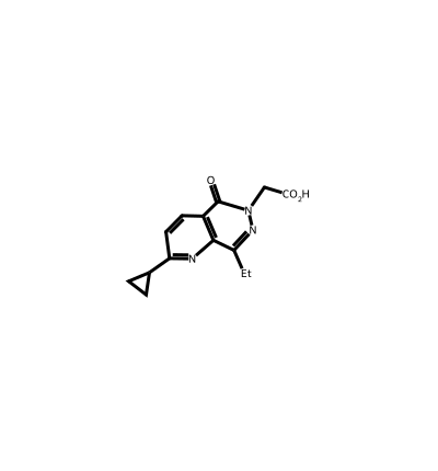 CCc1nn(CC(=O)O)c(=O)c2ccc(C3CC3)nc12